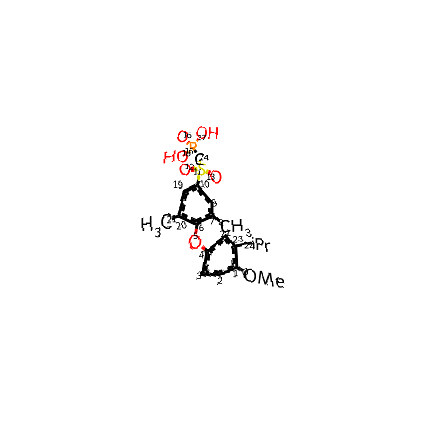 COc1ccc(Oc2c(C)cc(S(=O)(=O)CP(=O)(O)O)cc2C)cc1C(C)C